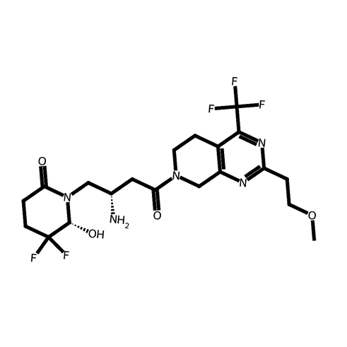 COCCc1nc2c(c(C(F)(F)F)n1)CCN(C(=O)C[C@H](N)CN1C(=O)CCC(F)(F)[C@H]1O)C2